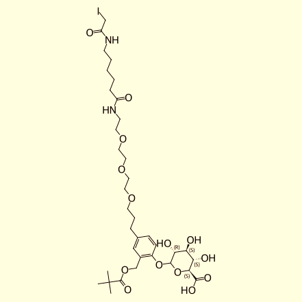 CC(C)(C)C(=O)OCc1cc(CCCOCCOCCOCCNC(=O)CCCCCNC(=O)CI)ccc1OC1O[C@H](C(=O)O)[C@@H](O)[C@H](O)[C@H]1O